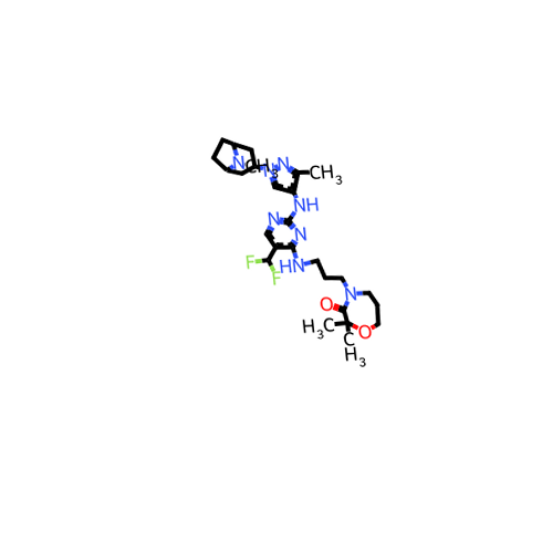 Cc1nn(C2CC3CCC(C2)N3C)cc1Nc1ncc(C(F)F)c(NCCCN2CCCOC(C)(C)C2=O)n1